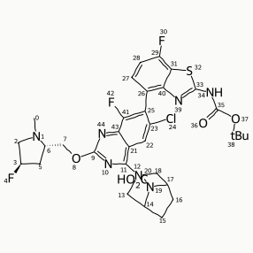 CN1C[C@H](F)C[C@H]1COc1nc(N2CC3CCC(C2)N3C(=O)O)c2cc(Cl)c(-c3ccc(F)c4sc(NC(=O)OC(C)(C)C)nc34)c(F)c2n1